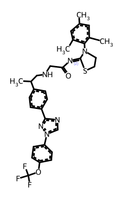 Cc1cc(C)c(N2CCS/C2=N\C(=O)CNCC(C)c2ccc(-c3ncn(-c4ccc(OC(F)(F)F)cc4)n3)cc2)c(C)c1